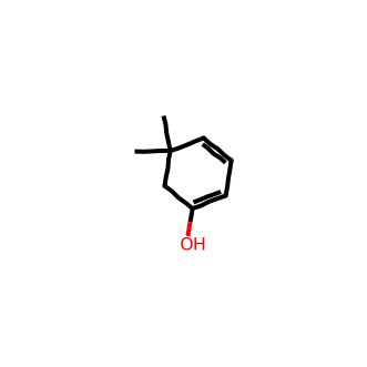 CC1(C)C=CC=C(O)C1